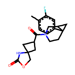 Cc1ccc(C23CCN(C(=O)C4CC5(COC(=O)N5)C4)CC2C3)cc1F